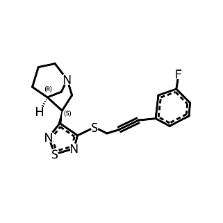 Fc1cccc(C#CCSc2nsnc2[C@@H]2CN3CCC[C@H]2C3)c1